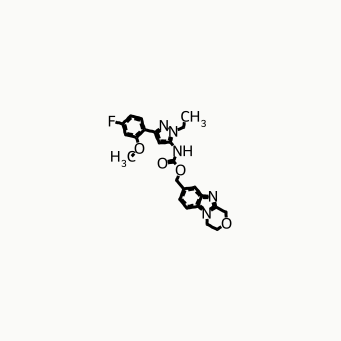 CCn1nc(-c2ccc(F)cc2OC)cc1NC(=O)OCc1ccc2c(c1)nc1n2CCOC1